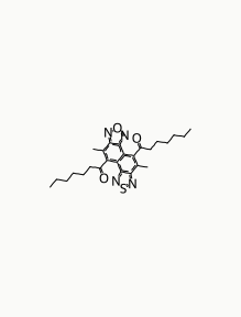 CCCCCCC(=O)c1c(C)c2nsnc2c2c(C(=O)CCCCCC)c(C)c3nonc3c12